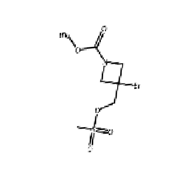 CCC1(COS(C)(=O)=O)CN(C(=O)OC(C)(C)C)C1